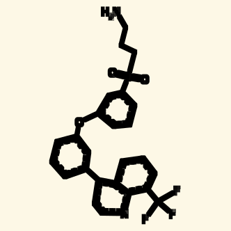 NCCCS(=O)(=O)c1cccc(Oc2cccc(-c3ccnc4c(C(F)(F)F)cccc34)c2)c1